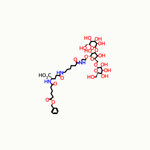 O=C(CCCCCNC(=O)CC[C@H](NC(=O)CCCCC(=O)OCc1ccccc1)C(=O)O)NCCO[C@H]1O[C@H](CO[C@H]2O[C@H](CO)[C@@H](O)[C@H](O)[C@@H]2O)[C@@H](O)[C@H](O[C@H]2O[C@H](CO)[C@@H](O)[C@H](O)[C@@H]2O)[C@@H]1O